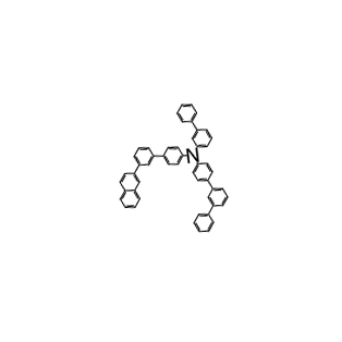 c1ccc(-c2cccc(-c3ccc(N(c4ccc(-c5cccc(-c6ccc7ccccc7c6)c5)cc4)c4cccc(-c5ccccc5)c4)cc3)c2)cc1